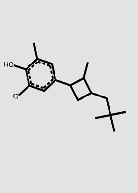 Cc1cc(C2CC(CC(C)(C)C)C2C)cc(Cl)c1O